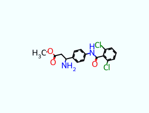 COC(=O)CC(N)c1ccc(NC(=O)c2c(Cl)cccc2Cl)cc1